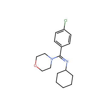 Clc1ccc(C(=NC2CCCCC2)N2CCOCC2)cc1